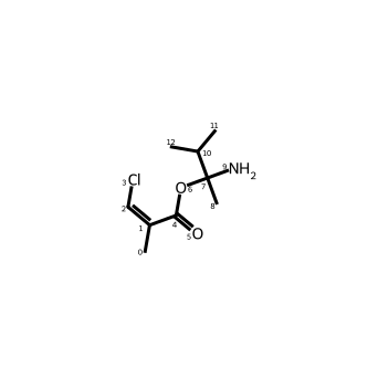 CC(=CCl)C(=O)OC(C)(N)C(C)C